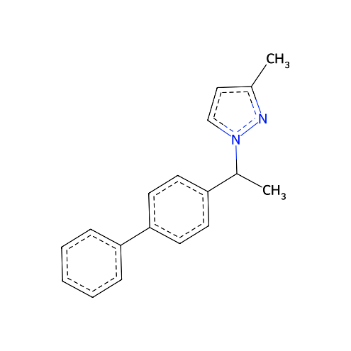 Cc1ccn(C(C)c2ccc(-c3ccccc3)cc2)n1